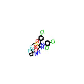 CCS(=O)(=O)c1c(-c2nnc(C3(C(F)(F)F)CCC3)o2)nn(-c2ccc(Cl)cc2Cl)c1-c1ccc(Cl)cc1